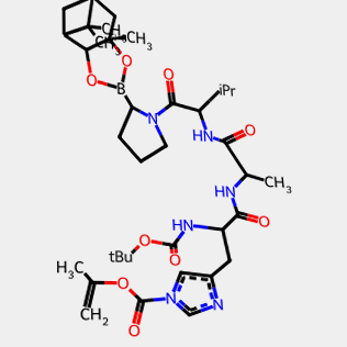 C=C(C)OC(=O)n1cnc(CC(NC(=O)OC(C)(C)C)C(=O)NC(C)C(=O)NC(C(=O)N2CCCC2B2OC3C4CC(C[C@]3(C)O2)C4(C)C)C(C)C)c1